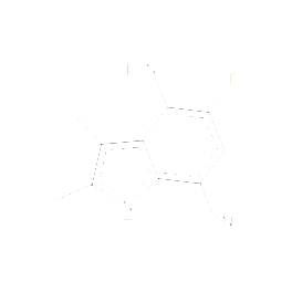 Cc1[nH]c2c(C#N)cc(F)c(N)c2c1C